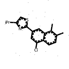 Cc1ccc2c(Cl)cc(-c3nc(C(C)C)cs3)cc2c1C